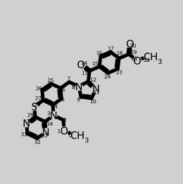 COCN1c2cc(Cn3ccnc3C(=O)c3ccc(C(=O)OC)cc3)ccc2Sc2nccnc21